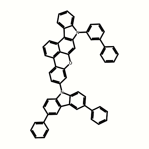 c1ccc(-c2cccc(-n3c4ccccc4c4c5cccc6c5c(cc43)Oc3cc(-n4c5ccc(-c7ccccc7)cc5c5cc(-c7ccccc7)ccc54)ccc3-6)c2)cc1